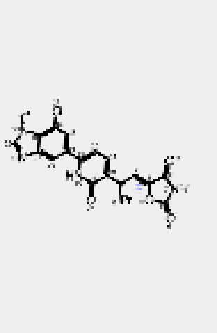 CC(C)C(/C=C1\OC(=O)NC1=O)c1ccc(-c2cc(Cl)c3c(c2)ncn3C)[nH]c1=O